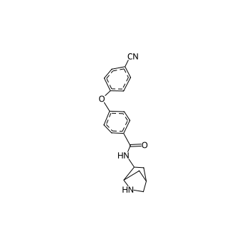 N#Cc1ccc(Oc2ccc(C(=O)NC3CC4CNC3C4)cc2)cc1